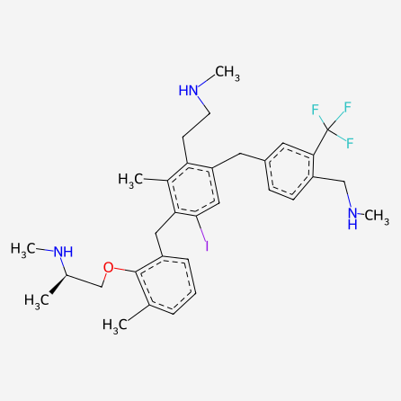 CNCCc1c(Cc2ccc(CNC)c(C(F)(F)F)c2)cc(I)c(Cc2cccc(C)c2OC[C@@H](C)NC)c1C